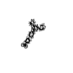 O=[N+]([O-])c1ccc(N2CCN(c3nc(N4CCOCC4)nc(-n4ccnc4)n3)CC2)cc1